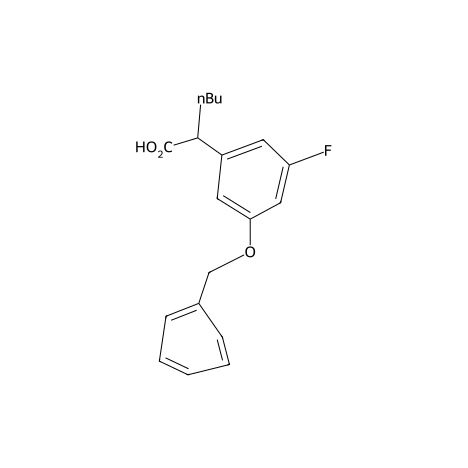 CCCCC(C(=O)O)c1cc(F)cc(OCc2ccccc2)c1